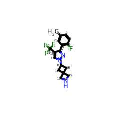 Cc1ccc(F)c(-c2nn(C3CC4(CNC4)C3)cc2C(F)(F)F)c1